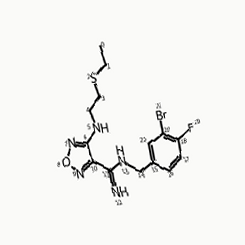 CCSCCNc1nonc1C(=N)NCc1ccc(F)c(Br)c1